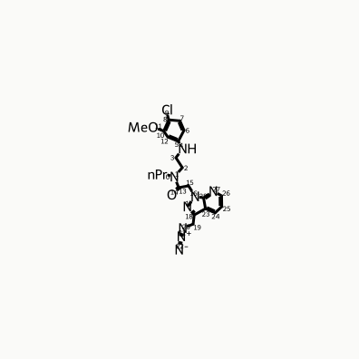 CCCN(CCNc1ccc(Cl)c(OC)c1)C(=O)Cn1nc(CN=[N+]=[N-])c2cccnc21